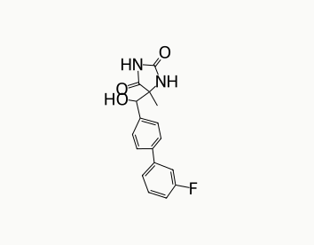 CC1(C(O)c2ccc(-c3cccc(F)c3)cc2)NC(=O)NC1=O